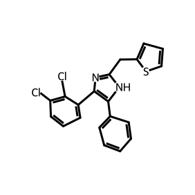 Clc1cccc(-c2nc(Cc3cccs3)[nH]c2-c2ccccc2)c1Cl